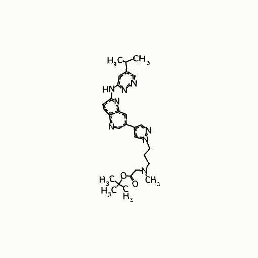 CC(C)c1cnnc(Nc2ccc3ncc(-c4cnn(CCCN(C)CC(=O)OC(C)(C)C)c4)cc3n2)c1